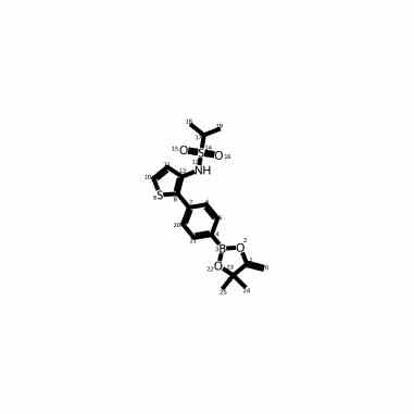 C=C1OB(c2ccc(-c3sccc3NS(=O)(=O)C(C)C)cc2)OC1(C)C